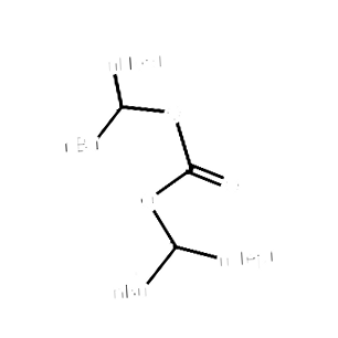 CCCCCCCC(CCCC)OC(=O)OC(CCCC)CCCCCCC